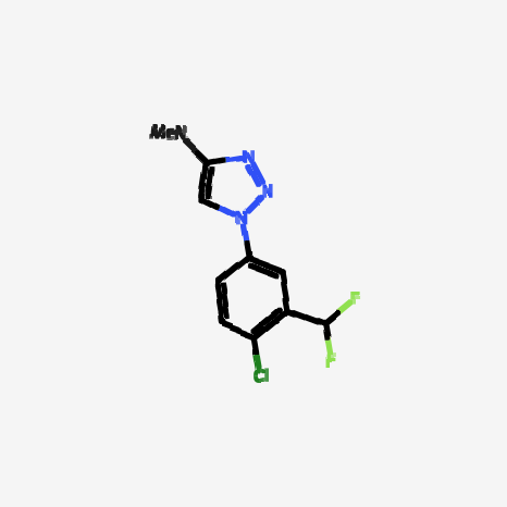 CNc1cn(-c2ccc(Cl)c(C(F)F)c2)nn1